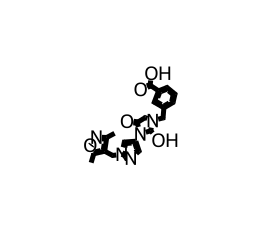 Cc1noc(C)c1Cn1cc(N2C(=O)CN(Cc3cccc(C(=O)O)c3)C2O)cn1